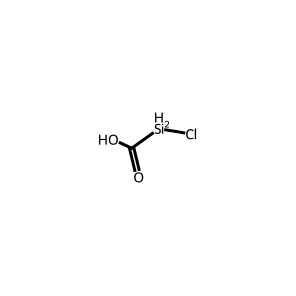 O=C(O)[SiH2]Cl